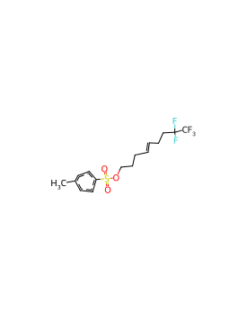 Cc1ccc(S(=O)(=O)OCCC/C=C/CCC(F)(F)C(F)(F)F)cc1